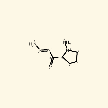 NN=NC(=O)[C@@H]1CCCN1N